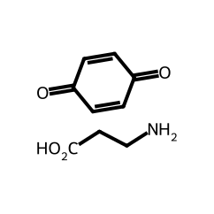 NCCC(=O)O.O=C1C=CC(=O)C=C1